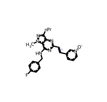 CCCc1nn(C)c2c(NCc3ccc(F)cc3)nc(/C=C/c3ccc[n+]([O-])c3)nc12